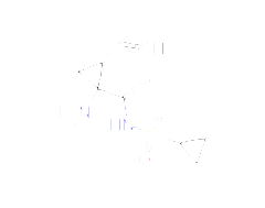 C=CC1CC1(N)C(=O)NS(=O)(=O)C1CC1